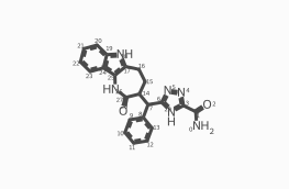 NC(=O)c1nnc(C(c2ccccc2)C2CCc3[nH]c4ccccc4c3NC2=O)[nH]1